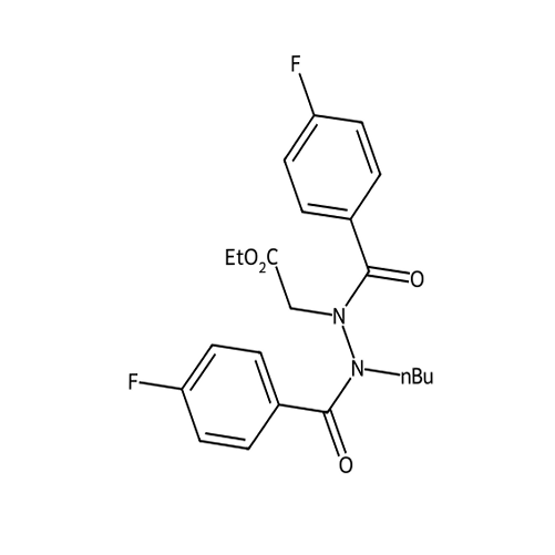 CCCCN(C(=O)c1ccc(F)cc1)N(CC(=O)OCC)C(=O)c1ccc(F)cc1